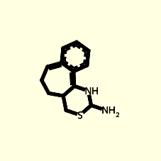 NC1NC2=c3ccccc3=CCCC2CS1